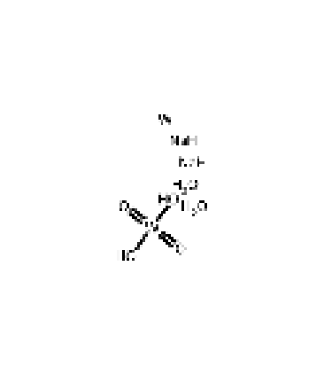 O.O.[NaH].[NaH].[O]=[W](=[O])([OH])[OH].[W]